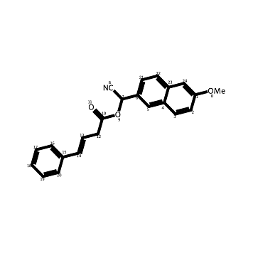 COc1ccc2cc(C(C#N)OC(=O)C/C=C/c3ccccc3)ccc2c1